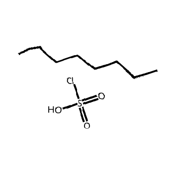 CCCCCCCC.O=S(=O)(O)Cl